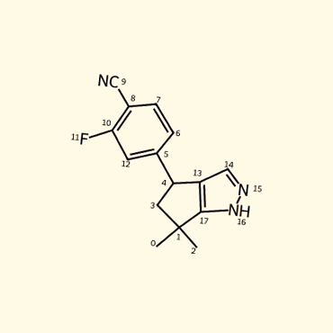 CC1(C)CC(c2ccc(C#N)c(F)c2)c2cn[nH]c21